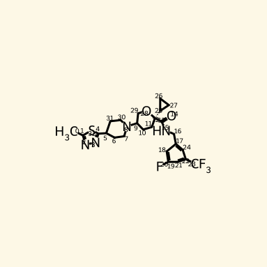 Cc1nnc(C2CCN(C3CC[C@@](C(=O)NCc4cc(F)cc(C(F)(F)F)c4)(C4CC4)OC3)CC2)s1